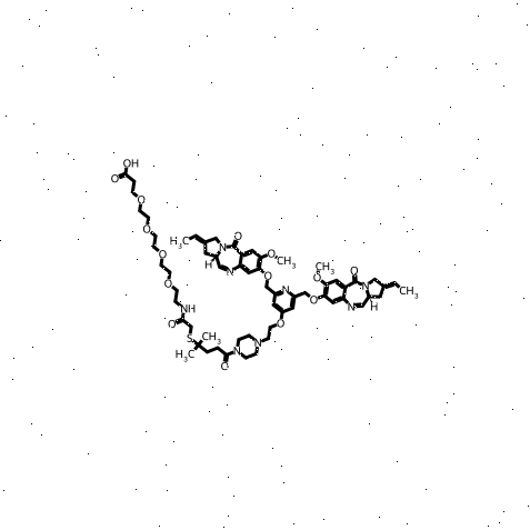 C/C=C1\C[C@H]2C=Nc3cc(OCc4cc(OCCN5CCN(C(=O)CCC(C)(C)SCC(=O)NCCOCCOCCOCCOCCC(=O)O)CC5)cc(COc5cc6c(cc5OC)C(=O)N5C/C(=C/C)C[C@H]5C=N6)n4)c(OC)cc3C(=O)N2C1